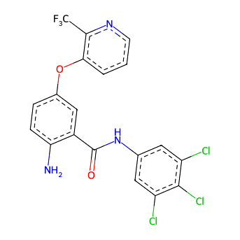 Nc1ccc(Oc2cccnc2C(F)(F)F)cc1C(=O)Nc1cc(Cl)c(Cl)c(Cl)c1